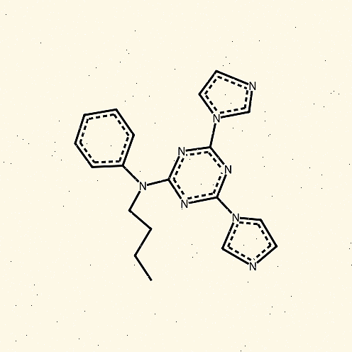 CCCCN(c1ccccc1)c1nc(-n2ccnc2)nc(-n2ccnc2)n1